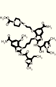 CCc1nc(C)sc1C(=O)Nc1nc2cc(C(N)=O)cc(OC)c2n1C/C=C/Cn1c(NC(O)c2cc(C)nn2CC)nc2cc(C(N)=O)cc(OCCCN3CCN(C(=O)OC)CC3)c21